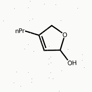 CCCC1=CC(O)OC1